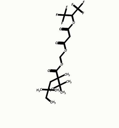 CCC(C)(C)CC(C)(C(=O)OCOC(=O)CC(=O)OC(C(F)(F)F)C(F)(F)F)C(C)(C)C